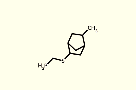 CC1CC2CC1CC2SCP